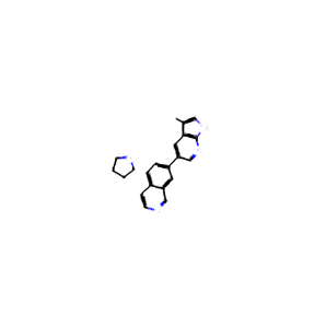 Cc1c[nH]c2ncc(-c3cc([C@@H]4CCCN4)c4ccncc4c3)cc12